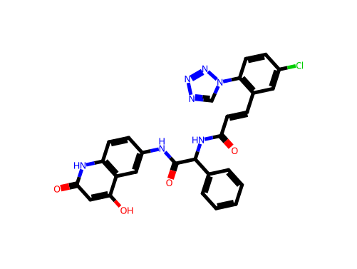 O=C(/C=C/c1cc(Cl)ccc1-n1cnnn1)NC(C(=O)Nc1ccc2[nH]c(=O)cc(O)c2c1)c1ccccc1